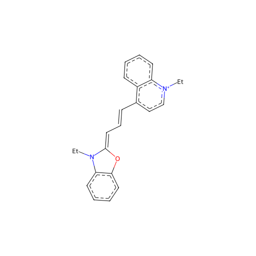 CCN1/C(=C/C=C/c2cc[n+](CC)c3ccccc23)Oc2ccccc21